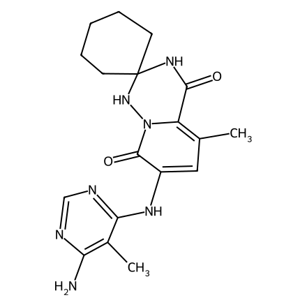 Cc1cc(Nc2ncnc(N)c2C)c(=O)n2c1C(=O)NC1(CCCCC1)N2